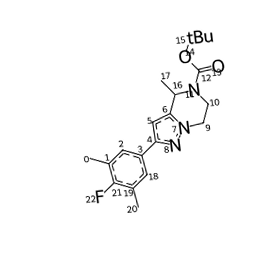 Cc1cc(-c2cc3n(n2)CCN(C(=O)OC(C)(C)C)C3C)cc(C)c1F